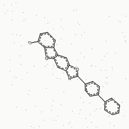 Clc1cccc2c1oc1cc3nc(-c4ccc(-c5ccccc5)cc4)oc3cc12